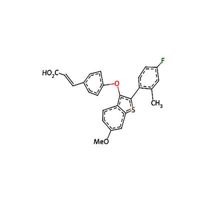 COc1ccc2c(Oc3ccc(C=CC(=O)O)cc3)c(-c3ccc(F)cc3C)sc2c1